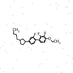 CCCCC1CCC(c2ccc(-c3ccc(OCC)c(F)c3F)c(F)c2)C1